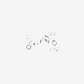 Nc1c(Oc2ccc(C3CCCN3)cc2)ncn(CC2(O)CCN(C(=O)[C@@H]3CCC(F)(F)C[C@H]3c3ccccc3)CC2)c1=O